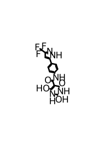 O=C(Nc1ccc(-c2cc(C(F)(F)F)n[nH]2)cc1)C1=C(O)NC(O)NC1=O